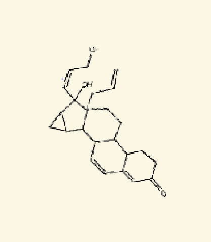 C=CCC12CCC3C4CCC(=O)C=C4C=CC3C1C1CC1C2(O)/C=C\CO